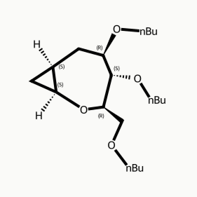 CCCCOC[C@H]1O[C@H]2C[C@H]2C[C@@H](OCCCC)[C@@H]1OCCCC